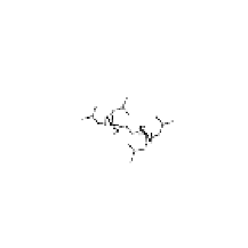 CC(C)CN(CC(C)C)SCCSN(CC(C)C)CC(C)C